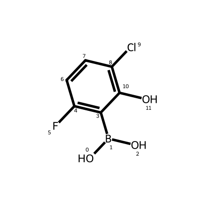 OB(O)c1c(F)ccc(Cl)c1O